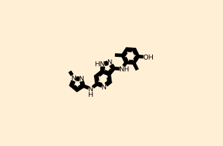 Cc1ccc(O)c(C)c1Nc1n[nH]c2cc(Nc3ccn(C)n3)ncc12